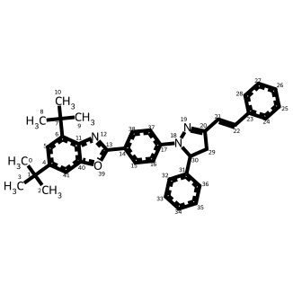 CC(C)(C)c1cc(C(C)(C)C)c2nc(-c3ccc(N4N=C(C=Cc5ccccc5)CC4c4ccccc4)cc3)oc2c1